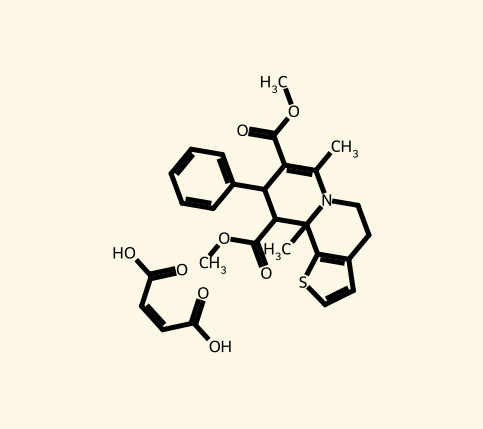 COC(=O)C1=C(C)N2CCc3ccsc3C2(C)C(C(=O)OC)C1c1ccccc1.O=C(O)/C=C\C(=O)O